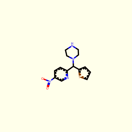 O=[N+]([O-])c1ccc(C(c2cccs2)N2CCNCC2)nc1